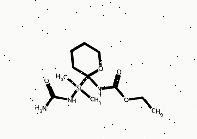 CCOC(=O)NC1([Si](C)(C)NC(N)=O)CCCCO1